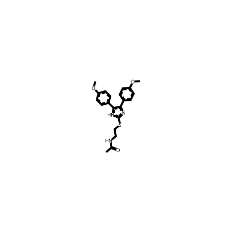 COc1ccc(-c2nc(SCCNC(C)=O)[nH]c2-c2ccc(OC)cc2)cc1